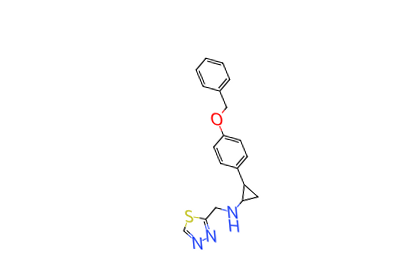 c1ccc(COc2ccc(C3CC3NCc3nncs3)cc2)cc1